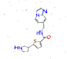 O=C(NCc1ccn2ccnc2c1)c1ccc(C2CCNC2)s1